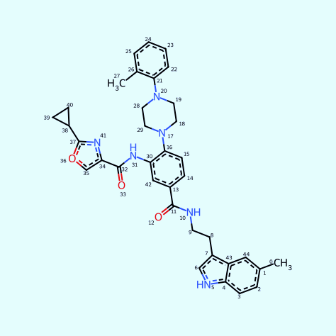 Cc1ccc2[nH]cc(CCNC(=O)c3ccc(N4CCN(c5ccccc5C)CC4)c(NC(=O)c4coc(C5CC5)n4)c3)c2c1